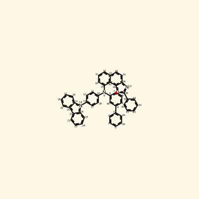 c1ccc(-c2cccc(N(c3ccc(-n4c5ccccc5c5ccccc54)cc3)c3cccc4ccc5nc(-c6ccccc6)oc5c34)c2)cc1